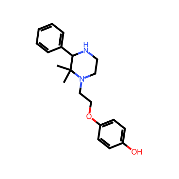 CC1(C)C(c2ccccc2)NCCN1CCOc1ccc(O)cc1